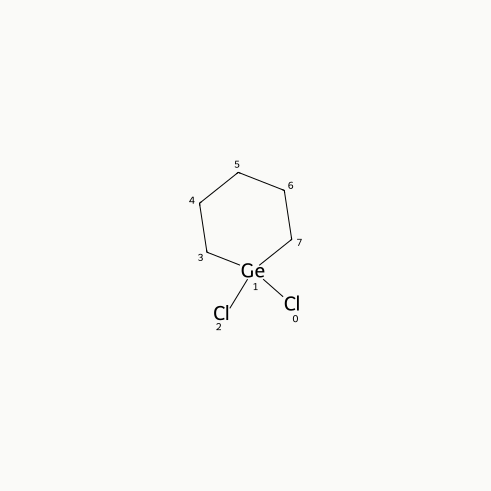 [Cl][Ge]1([Cl])[CH2]CCC[CH2]1